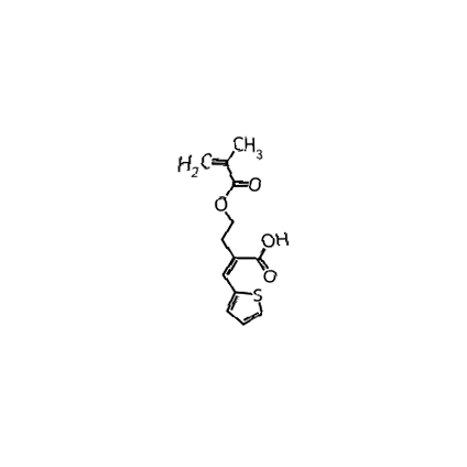 C=C(C)C(=O)OCCC(=Cc1cccs1)C(=O)O